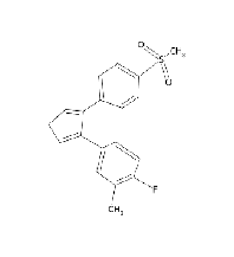 Cc1cc(C2=CCC=C2c2ccc(S(C)(=O)=O)cc2)ccc1F